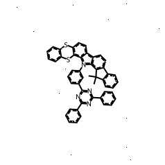 CC1(C)c2ccccc2-c2ccc3c4ccc5c(c4n(-c4cccc(-c6nc(-c7ccccc7)nc(-c7ccccc7)n6)c4)c3c21)Sc1ccccc1S5